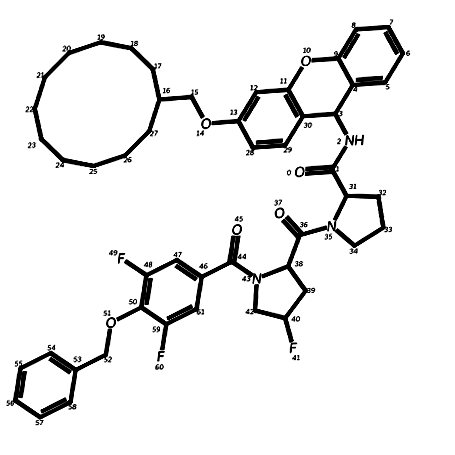 O=C(NC1c2ccccc2Oc2cc(OCC3CCCCCCCCCCC3)ccc21)C1CCCN1C(=O)C1CC(F)CN1C(=O)c1cc(F)c(OCc2ccccc2)c(F)c1